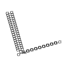 CC(=O)CC(Cl)Cl.ClCCl.ClCCl.ClCCl.ClCCl.ClCCl.ClCCl.ClCCl.ClCCl.ClCCl.ClCCl.ClCCl.ClCCl.ClCCl.ClCCl.ClCCl.ClCCl.ClCCl.ClCCl.ClCCl.ClCCl.ClCCl.ClCCl.ClCCl.ClCCl.ClCCl.ClCCl.ClCCl.ClCCl.ClCCl